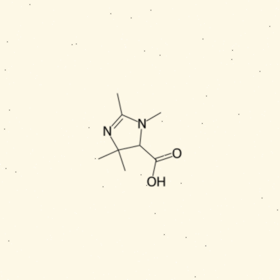 CC1=NC(C)(C)C(C(=O)O)N1C